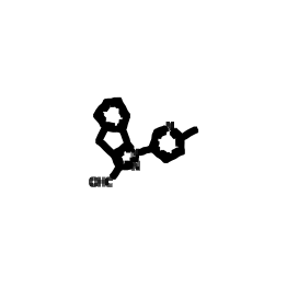 Cc1ccc(-n2nc(C=O)c3c2-c2ccccc2C3)cn1